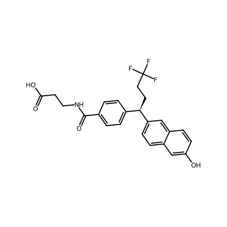 O=C(O)CCNC(=O)c1ccc([C@@H](CCC(F)(F)F)c2ccc3cc(O)ccc3c2)cc1